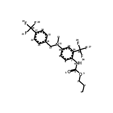 CCCOC(=O)Nc1ccc(N(C)Cc2ccc(C(F)(F)F)cc2)cc1C(F)(F)F